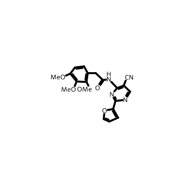 COc1ccc(CC(=O)Nc2nc(-c3ccco3)ncc2C#N)c(OC)c1OC